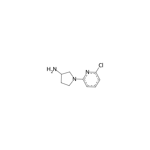 NC1CCN(c2cccc(Cl)n2)C1